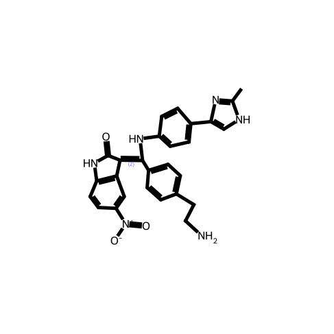 Cc1nc(-c2ccc(N/C(=C3\C(=O)Nc4ccc([N+](=O)[O-])cc43)c3ccc(CCN)cc3)cc2)c[nH]1